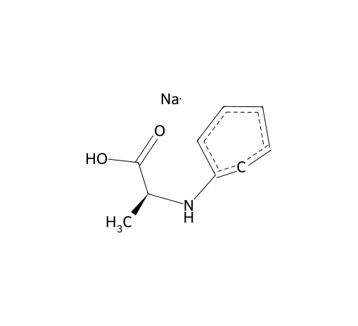 C[C@H](Nc1ccccc1)C(=O)O.[Na]